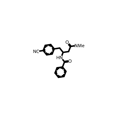 CNC(=O)CC(Cc1ccc(C#N)cc1)NC(=O)c1ccccc1